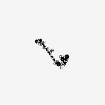 C[C@@H]1CCCN1C(=O)C(NC(=O)CCCNCCN/C=C(/COCCOCCNC(=O)c1ccc(Nc2ncc3c(n2)-c2ccc(Cl)cc2C(c2c(F)cccc2F)=NC3)cc1)N=N)C(C)(C)C